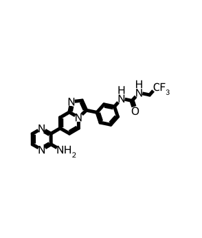 Nc1nccnc1-c1ccn2c(-c3cccc(NC(=O)NCC(F)(F)F)c3)cnc2c1